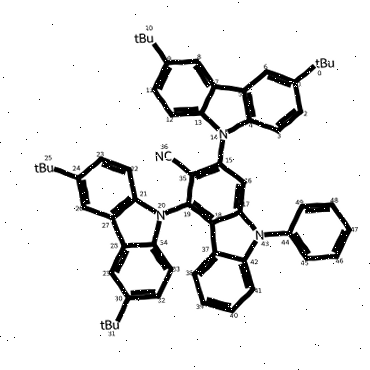 CC(C)(C)c1ccc2c(c1)c1cc(C(C)(C)C)ccc1n2-c1cc2c(c(-n3c4ccc(C(C)(C)C)cc4c4cc(C(C)(C)C)ccc43)c1C#N)c1ccccc1n2-c1ccccc1